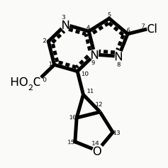 O=C(O)c1cnc2cc(Cl)nn2c1C1C2COCC21